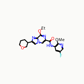 CCOc1nc(C(=O)Nc2cc(F)cnc2OC)cn2cc(C3CCCOC3)nc12